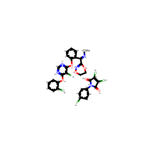 CO/N=C(/C1=NOCCO1)c1ccccc1Oc1ncnc(Oc2ccccc2Cl)c1F.O=C1C(Cl)=C(Cl)C(=O)N1c1ccc(F)cc1